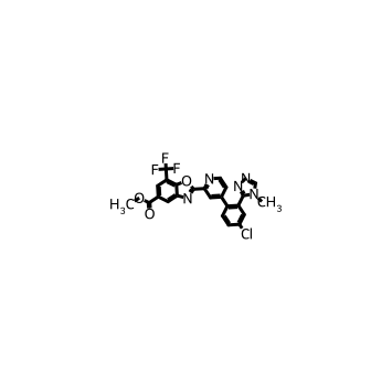 COC(=O)c1cc(C(F)(F)F)c2oc(-c3cc(-c4ccc(Cl)cc4-c4nncn4C)ccn3)nc2c1